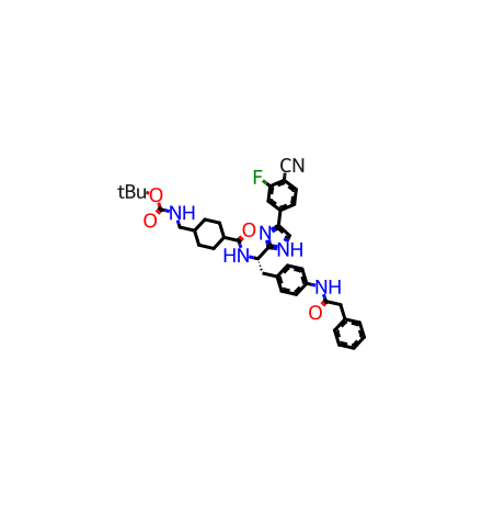 CC(C)(C)OC(=O)NCC1CCC(C(=O)N[C@@H](Cc2ccc(NC(=O)Cc3ccccc3)cc2)c2nc(-c3ccc(C#N)c(F)c3)c[nH]2)CC1